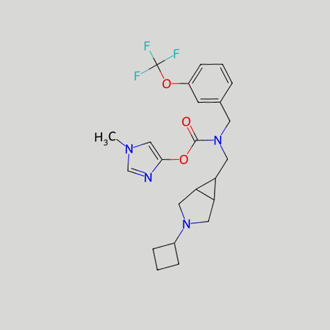 Cn1cnc(OC(=O)N(Cc2cccc(OC(F)(F)F)c2)CC2C3CN(C4CCC4)CC23)c1